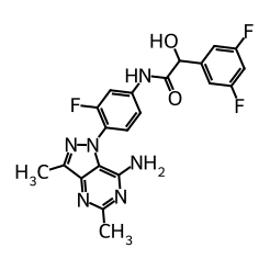 Cc1nc(N)c2c(n1)c(C)nn2-c1ccc(NC(=O)C(O)c2cc(F)cc(F)c2)cc1F